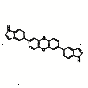 c1cc2cc(-c3ccc4c(c3)Oc3ccc(-c5ccc6[nH]ccc6c5)cc3O4)ccc2[nH]1